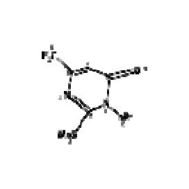 CCCn1c(SC)nc(C(F)(F)F)cc1=O